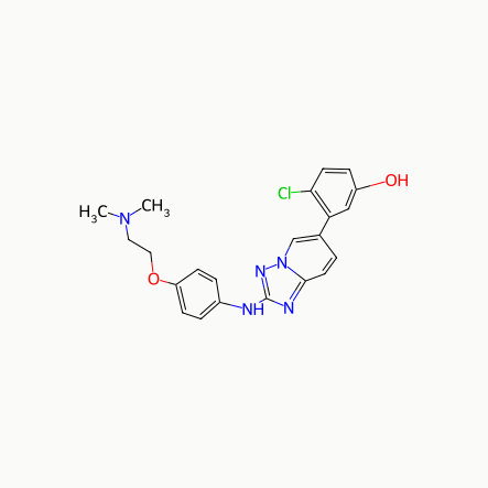 CN(C)CCOc1ccc(Nc2nc3ccc(-c4cc(O)ccc4Cl)cn3n2)cc1